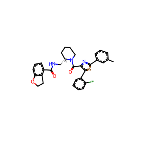 Cc1cccc(-c2nc(C(=O)N3CCCC[C@H]3CNC(=O)c3cccc4c3CCO4)c(-c3ccccc3F)s2)c1